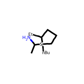 CCCC[Si]1(C(C)N)CCCC1CC